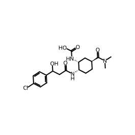 CN(C)C(=O)[C@H]1CC[C@H](NC(=O)CC(O)c2ccc(Cl)cc2)[C@H](NC(=O)O)C1